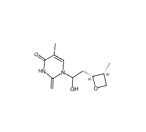 C=C1NC(=O)C(C)=CN1C(O)C[C@H]1OC[C@H]1C